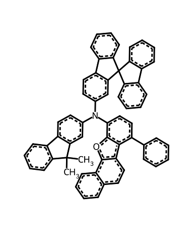 CC1(C)c2ccccc2-c2ccc(N(c3ccc4c(c3)C3(c5ccccc5-c5ccccc53)c3ccccc3-4)c3ccc(-c4ccccc4)c4c3oc3c5ccccc5ccc34)cc21